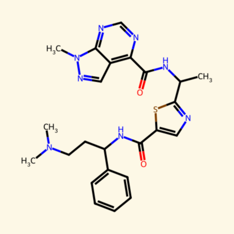 CC(NC(=O)c1ncnc2c1cnn2C)c1ncc(C(=O)NC(CCN(C)C)c2ccccc2)s1